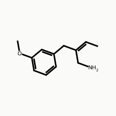 C/C=C(\CN)Cc1cccc(OC)c1